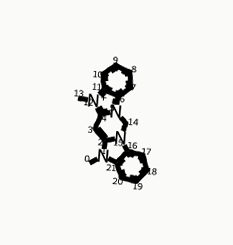 CN1C2=Cc3n(c4ccccc4[n+]3C)CN2c2ccccc21